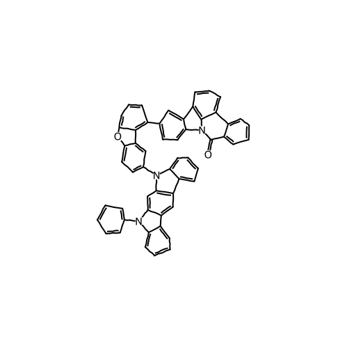 O=c1c2ccccc2c2cccc3c4cc(-c5cccc6oc7ccc(-n8c9ccccc9c9cc%10c%11ccccc%11n(-c%11ccccc%11)c%10cc98)cc7c56)ccc4n1c23